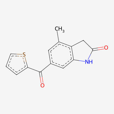 Cc1cc(C(=O)c2cccs2)cc2c1CC(=O)N2